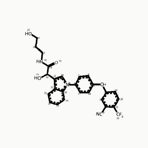 N#Cc1cc(Oc2ccc(-n3cc(C(O)C(=O)NCCCO)c4ccccc43)cc2)ccc1C(F)(F)F